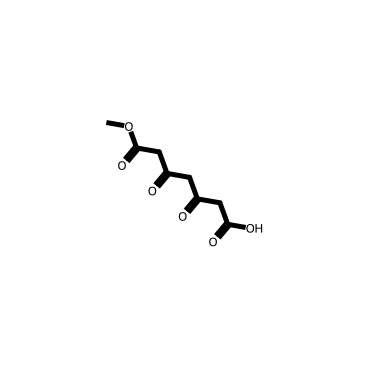 COC(=O)CC(=O)CC(=O)CC(=O)O